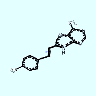 Nc1ncnc2[nH]c(/C=C/c3ccc([N+](=O)[O-])cc3)nc12